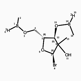 [2H]B(C)OC[C@H]1O[C@H](Br)C(C)(O)[C@@H]1OB([2H])C